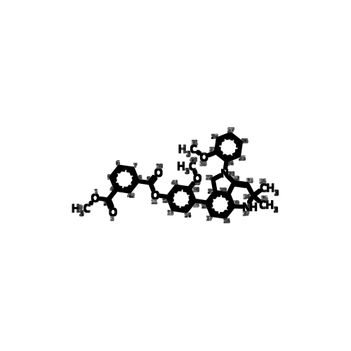 COC(=O)c1cccc(C(=O)Oc2ccc(-c3ccc4c5c3CN(c3ccccc3OC)C5=CC(C)(C)N4)c(OC)c2)c1